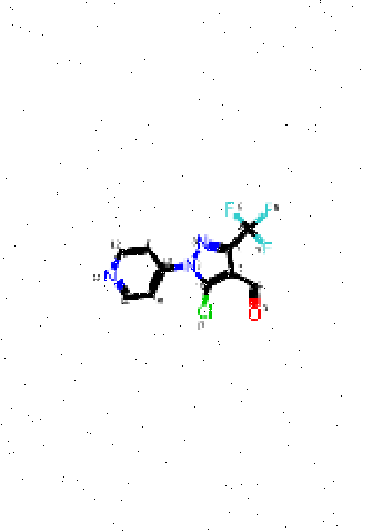 O=Cc1c(C(F)(F)F)nn(-c2ccncc2)c1Cl